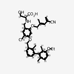 C=C(C#N)/C=C(\C)COc1cc(OCc2cccc(-c3c(C)ccc(OCC)c3C)c2C)c(Cl)cc1CN[C@@H](CO)C(=O)O